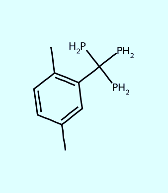 Cc1ccc(C)c(C(P)(P)P)c1